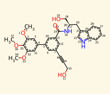 COc1cc(-c2cc(C#CCO)cc(C(=O)N[C@@H](CO)Cc3c[nH]c4ccccc34)c2)cc(OC)c1OC